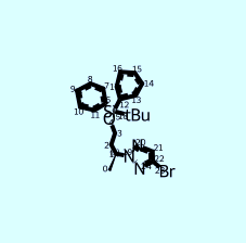 C[C@@H](CCO[Si](c1ccccc1)(c1ccccc1)C(C)(C)C)n1ncc(Br)n1